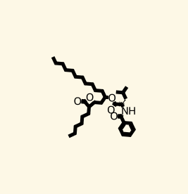 CCCCCCCCCCCC(CC1OC(=O)C1CCCCCC)OC(=O)[C@H](CC(C)C)NC(=O)c1ccccc1